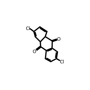 O=C1c2ccc(Cl)cc2C(=O)C2C=CC(Cl)=CC12